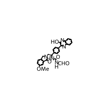 COc1ccc2c(c1)C(=O)N(C[C@H](NC(=O)NC=O)c1ccc(-c3nc4ccccc4nc3O)cc1)C2